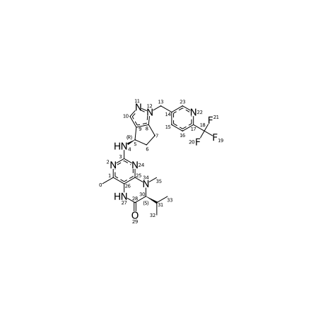 Cc1nc(N[C@@H]2CCc3c2cnn3Cc2ccc(C(F)(F)F)nc2)nc2c1NC(=O)[C@H](C(C)C)N2C